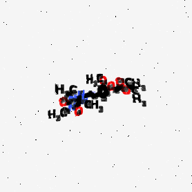 CCn1c(=O)c2c(nc(/C=C/c3ccc(OCC(=O)OC(C)C)c(OC)c3)n2C)n(CC)c1=O